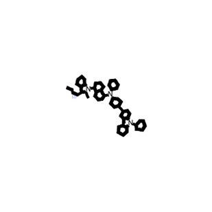 C=C/C=C\c1c(C)n(-c2cccc3c(N(c4ccccc4)c4ccc(-c5ccc6c(c5)c5ccccc5n6-c5ccccc5)cc4)cccc23)c2ccccc12